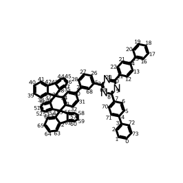 c1ccc(-c2ccc(-c3nc(-c4ccc(-c5ccccc5)cc4)nc(-c4cccc(-c5ccc6c(c5)C5(c7ccccc7-c7ccccc75)c5ccccc5C65c6ccccc6-c6ccccc65)c4)n3)cc2)cc1